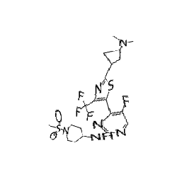 CN(C)C1CC(c2nc(C(F)(F)F)c(-c3nc(NC4CCN(S(C)(=O)=O)CC4)ncc3F)s2)C1